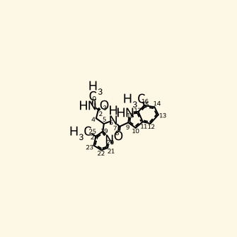 CNC(=O)CC(NC(=O)c1cc2cccc(C)c2[nH]1)c1ncccc1C